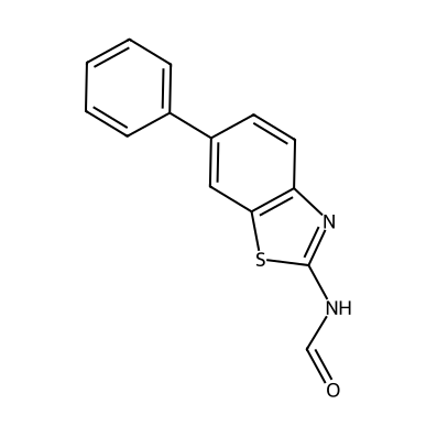 O=CNc1nc2ccc(-c3ccccc3)cc2s1